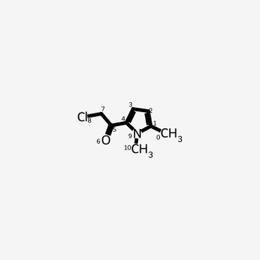 Cc1ccc(C(=O)CCl)n1C